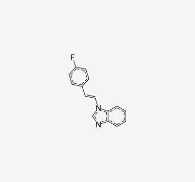 Fc1ccc(C=Cn2cnc3ccccc32)cc1